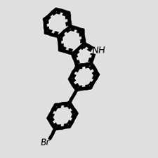 Brc1ccc(-c2ccc3[nH]c4cc5ccccc5cc4c3c2)cc1